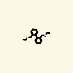 CCOCc1ccccc1-c1ccccc1COCC